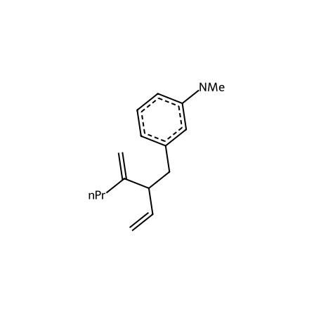 C=CC(Cc1cccc(NC)c1)C(=C)CCC